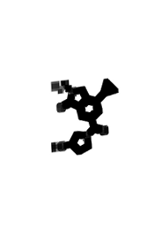 NN1Cc2c(cc(C(=O)N3CCC(O)C3)cc2C2CC2)C1=O